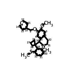 COc1cc2c(cc1OCc1ccccc1)C(C1(c3ccccc3SC)CCC1)N(C)CC2